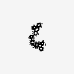 c1cc(-c2cccc(-c3cccc4c3sc3ccccc34)c2)cc(-c2ccc3oc4nc5c6ccccc6c6ccccc6c5nc4c3c2)c1